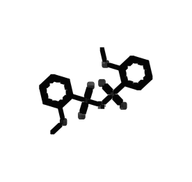 COc1ccccc1S(=O)(=O)[N]S(=O)(=O)c1ccccc1OC